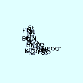 CCNc1ncc2nc(C(=O)NC(C(=O)N[C@@H]3C(=O)N4[C@@H]3SC(C)(C)[C@@H]4C(=O)[O-])c3ccccc3)c(=O)n(CC)c2n1.[K+]